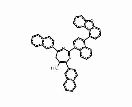 CC1=C(c2ccc3ccccc3c2)N=C(c2ccc(-c3cccc4oc5ccccc5c34)c3ccccc23)N=C(c2ccc3ccccc3c2)C1